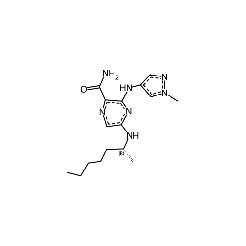 CCCCC[C@@H](C)Nc1cnc(C(N)=O)c(Nc2cnn(C)c2)n1